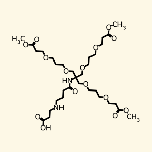 COC(=O)CCOCCCOCC(COCCCOCCC(=O)OC)(COCCCOCCC(=O)OC)NC(=O)CCCNCCC(=O)O